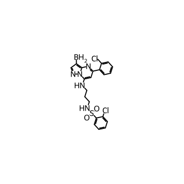 Bc1cnn2c(NCCCNS(=O)(=O)c3ccccc3Cl)cc(-c3ccccc3Cl)nc12